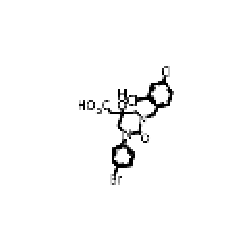 O=C(O)CC1(O)CN(Cc2ccc(Cl)cc2Cl)C(=O)N(c2ccc(Br)cc2)C1